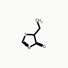 CCC1SC=NC1=O